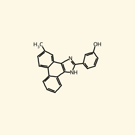 Cc1ccc2c3ccccc3c3[nH]c(-c4cccc(O)c4)nc3c2c1